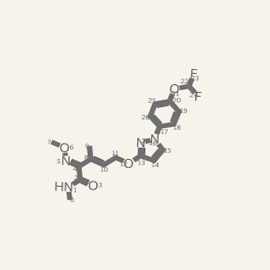 CNC(=O)C(=N/OC)/C(C)=C/COc1ccn(-c2ccc(OC(F)F)cc2)n1